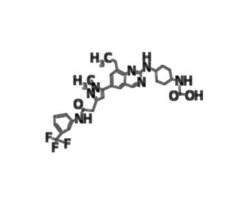 CCc1cc(-c2cc(CC(=O)Nc3cccc(C(F)(F)F)c3)nn2C)cc2cnc(NC3CCC(NC(=O)O)CC3)nc12